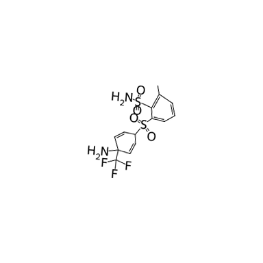 Cc1cccc(S(=O)(=O)C2C=CC(N)(C(F)(F)F)C=C2)c1S(N)(=O)=O